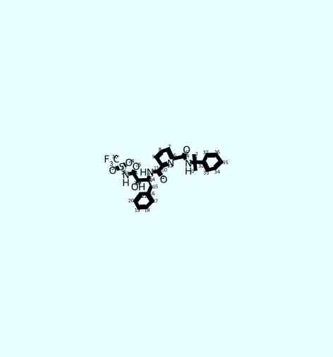 CC(C)(NC(=O)c1cccc(C(=O)N[C@@H](Cc2ccccc2)[C@H](O)C(=O)NS(=O)(=O)C(F)(F)F)n1)c1ccccc1